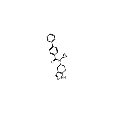 O=C(c1ccc(-c2ccccc2)cc1)N(C1CC1)C1CCc2[nH]ncc2C1